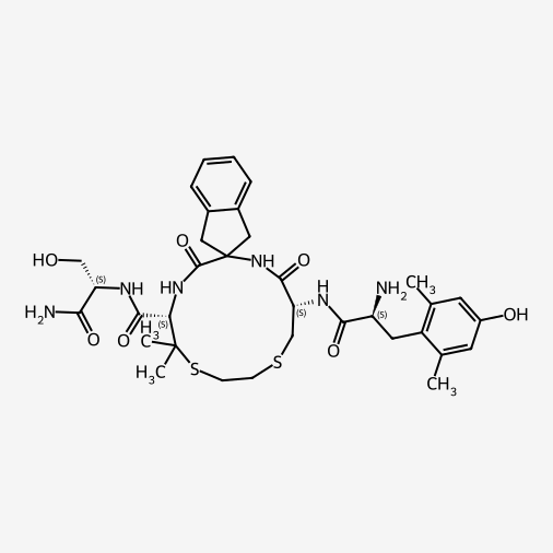 Cc1cc(O)cc(C)c1C[C@H](N)C(=O)N[C@@H]1CSCCSC(C)(C)[C@H](C(=O)N[C@@H](CO)C(N)=O)NC(=O)C2(Cc3ccccc3C2)NC1=O